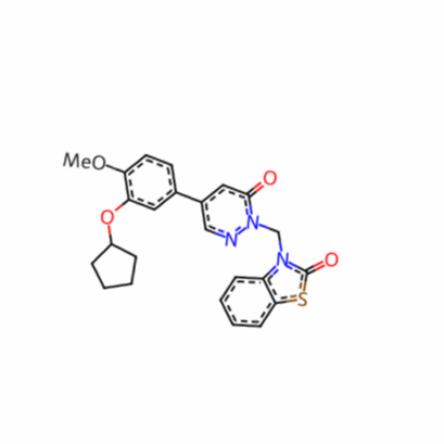 COc1ccc(-c2cnn(Cn3c(=O)sc4ccccc43)c(=O)c2)cc1OC1CCCC1